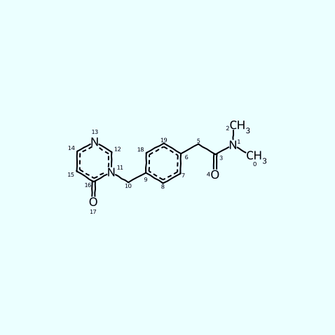 CN(C)C(=O)Cc1ccc(Cn2cnccc2=O)cc1